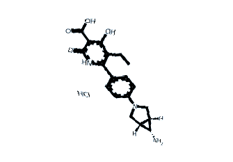 CCc1c(-c2ccc(N3C[C@@H]4[C@H](N)[C@@H]4C3)cc2)[nH]c(=O)c(C(=O)O)c1O.Cl